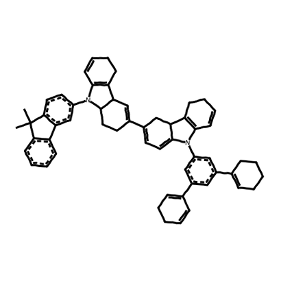 CC1(C)c2ccccc2-c2cc(N3C4=C(CCC=C4)C4C=C(C5=CC=C6C(C5)C5=C(C=CCC5)N6c5cc(C6=CCCC=C6)cc(C6=CCCCC6)c5)CCC43)ccc21